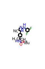 CC(C)(C)OC(=O)NC(C)(C)c1ccc(-c2nc(Nc3cc(F)cc(F)c3)ncc2C#N)cc1